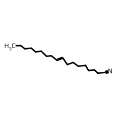 CCCCCCCCC=CCCCCCCCC#N